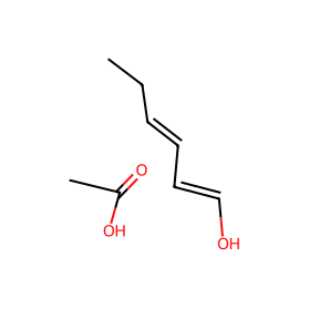 CC(=O)O.CCC=CC=CO